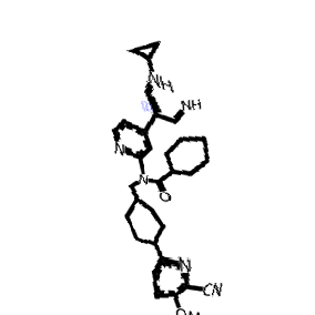 COc1ccc(C2CCC(CN(C(=O)C3CCCCC3)c3cc(/C(C=N)=C/NC4CC4)ccn3)CC2)nc1C#N